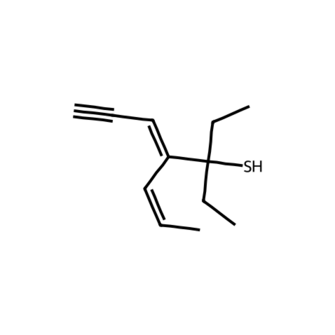 C#C/C=C(\C=C/C)C(S)(CC)CC